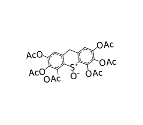 CC(=O)Oc1cc2c(c(OC(C)=O)c1OC(C)=O)[S+]([O-])c1c(cc(OC(C)=O)c(OC(C)=O)c1OC(C)=O)C2